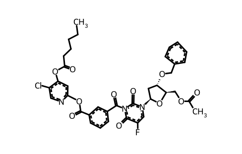 CCCCCC(=O)Oc1cc(OC(=O)c2cccc(C(=O)n3c(=O)c(F)cn([C@H]4C[C@H](OCc5ccccc5)[C@@H](COC(C)=O)O4)c3=O)c2)ncc1Cl